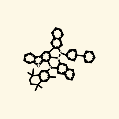 Cc1cc2c(cc1N1c3cc4ccccc4cc3B3c4c(cc5c(oc6ccccc65)c41)-c1cc4ccccc4cc1N3c1ccc(-c3ccccc3)cc1)C(C)(C)CCC2(C)C